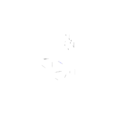 Fc1ccccc1/C(=C\c1ccccc1Cl)CCn1cncn1